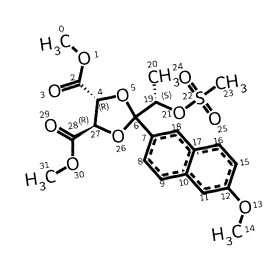 COC(=O)[C@@H]1OC(c2ccc3cc(OC)ccc3c2)([C@H](C)OS(C)(=O)=O)O[C@H]1C(=O)OC